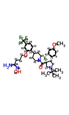 COc1ccc([C@@H]2CN(C(C)(C)C)C[C@@]2(F)C(=O)N2CCC(c3ccc(C(F)(F)F)cc3OCCCC(N)=NO)CC2)cc1